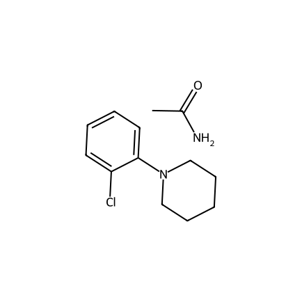 CC(N)=O.Clc1ccccc1N1CCCCC1